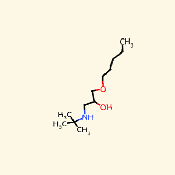 CCCCCOCC(O)CNC(C)(C)C